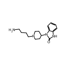 NCCCCN1CCC(n2c(=O)[nH]c3ccccc32)CC1